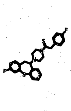 Fc1ccc(CC(=S)N2CCN(C3Cc4ccc(F)cc4Sc4ccccc43)CC2)cc1